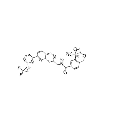 C[C@@]1(C#N)COCc2ccc(C(=O)NCc3cc4nc(-c5ccnc([C@@H]6CC6(F)F)n5)ccc4cn3)cc21